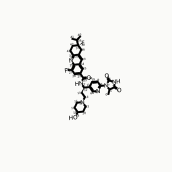 CC1C(=O)NC(=O)N1c1ccc([C@@H](CCN2CCC(O)CC2)NC(=O)c2cc(F)c3nc4c(cc3c2)C[C@](F)(C(C)C)CC4)cn1